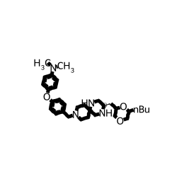 CCCCC1COCC(C[C@H]2CNC3(CCN(Cc4ccc(Oc5ccc(N(C)C)cc5)cc4)CC3)CN2)O1